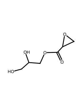 O=C(OCC(O)CO)C1CO1